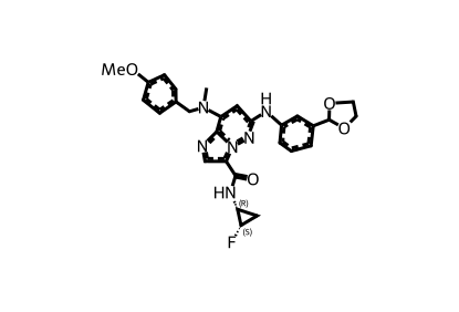 COc1ccc(CN(C)c2cc(Nc3cccc(C4OCCO4)c3)nn3c(C(=O)N[C@@H]4C[C@@H]4F)cnc23)cc1